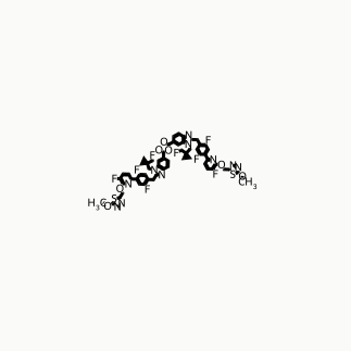 COc1nnc(COc2nc(-c3cc(F)c(Cc4nc5ccc(C(=O)OC(=O)c6ccc7nc(Cc8cc(F)c(-c9ccc(F)c(OCc%10nnc(OC)s%10)n9)cc8F)n(CC8(CF)CC8)c7c6)cc5n4CC4(CF)CC4)cc3F)ccc2F)s1